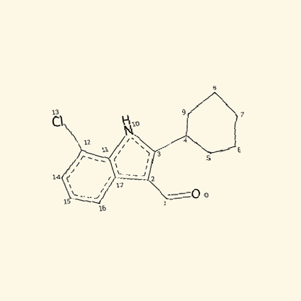 O=Cc1c(C2CCCCC2)[nH]c2c(Cl)cccc12